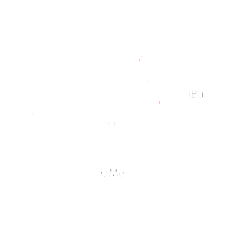 COc1ccccc1OCC(=O)OC(C)(C)C